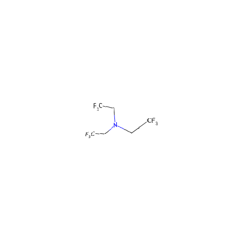 FC(F)(F)CN(CC(F)(F)F)CC(F)(F)F